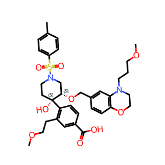 COCCCN1CCOc2ccc(CO[C@H]3CN(S(=O)(=O)c4ccc(C)cc4)CC[C@]3(O)c3ccc(C(=O)O)cc3CCOC)cc21